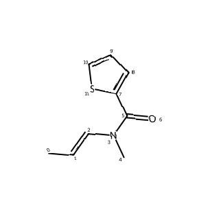 CC=CN(C)C(=O)c1cccs1